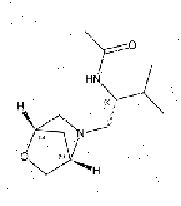 CC(=O)N[C@@H](CN1C[C@@H]2C[C@H]1CO2)C(C)C